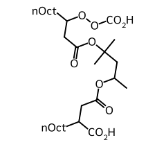 CCCCCCCCC(CC(=O)OC(C)(C)CC(C)OC(=O)CC(CCCCCCCC)C(=O)O)OOC(=O)O